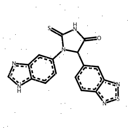 O=C1NC(=S)N(c2ccc3[nH]cnc3c2)C1c1ccc2nsnc2c1